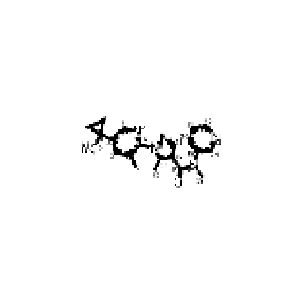 Cc1cc(C2(C#N)CC2)cnc1-n1ncc(C(=O)N(C)c2cccnc2)c1C